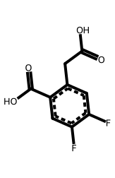 O=C(O)Cc1cc(F)c(F)cc1C(=O)O